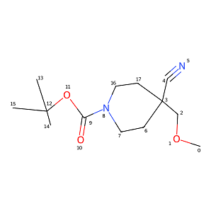 COCC1(C#N)CCN(C(=O)OC(C)(C)C)CC1